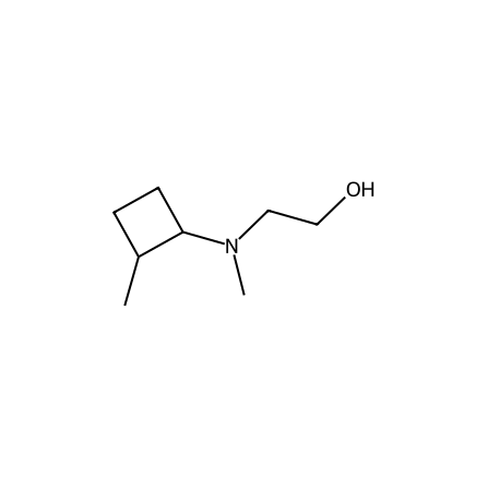 CC1CCC1N(C)CCO